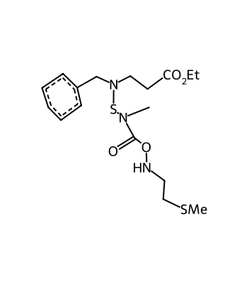 CCOC(=O)CCN(Cc1ccccc1)SN(C)C(=O)ONCCSC